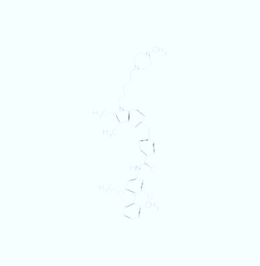 COc1cc(NC(=O)c2ccc(Cc3ccc4c(c3)c(C)c(C)n4CCCCCN3CCN(C)CC3)cc2)cc(OC)c1-c1ccccc1